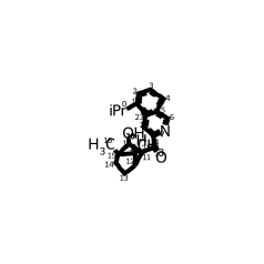 CC(C)c1cccc2cnc(C(=O)C3C4CCC(C)(C3O)C4(C)C)cc12